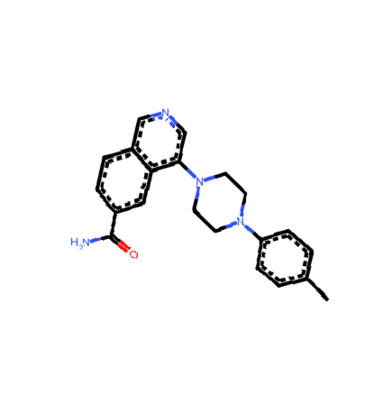 Cc1ccc(N2CCN(c3cncc4ccc(C(N)=O)cc34)CC2)cc1